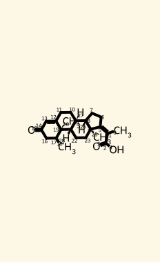 C/C(C(=O)O)=C1\CC[C@H]2[C@@H]3CCC4=CC(=O)CC(C)[C@]4(C)[C@H]3CC[C@]12C